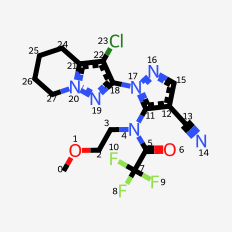 COCCN(C(=O)C(F)(F)F)c1c(C#N)cnn1-c1nn2c(c1Cl)CCCC2